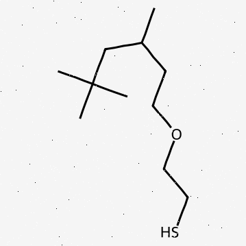 CC(CCOCCS)CC(C)(C)C